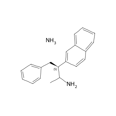 CC(N)[C@@H](Cc1ccccc1)c1ccc2ccccc2c1.N